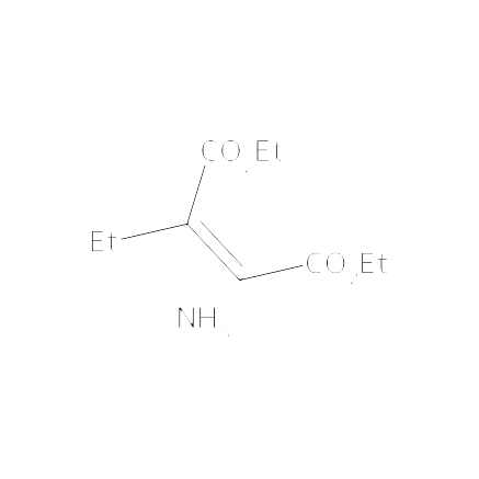 CCOC(=O)/C=C(/CC)C(=O)OCC.N